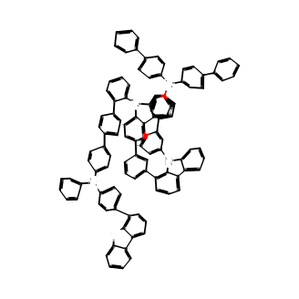 c1ccc(-c2ccc(N(c3ccc(-c4ccccc4)cc3)c3ccc(-c4cccc(-n5c6ccccc6c6cccc(-c7cccc(-c8ccc9c(c8)c8ccccc8n9-c8ccccc8-c8ccc(-c9ccc(N(c%10ccccc%10)c%10ccc(-c%11cccc%12c%11oc%11ccccc%11%12)cc%10)cc9)cc8)c7)c65)c4)cc3)cc2)cc1